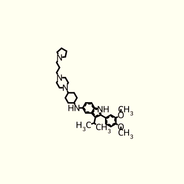 COc1ccc(-c2[nH]c3ccc(NC4CCC(N5CCN(CCCN6CCCC6)CC5)CC4)cc3c2C(C)C)cc1OC